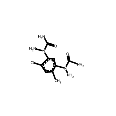 Cc1cc(Cl)c(N(N)C(N)=O)cc1N(N)C(N)=O